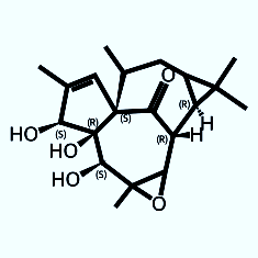 CC1=C[C@]23C(=O)[C@@H](C4OC4(C)[C@@H](O)[C@]2(O)[C@H]1O)[C@H]1C(CC3C)C1(C)C